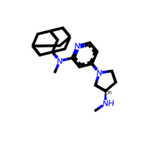 CN[C@@H]1CCN(c2ccnc(N(C)C34CC5CC(CC(C5)C3)C4)c2)C1